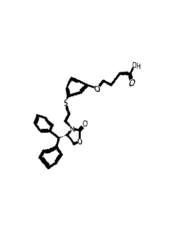 O=C(O)CCCOc1cccc(SCCN2C(=O)OC[C@@H]2C(c2ccccc2)c2ccccc2)c1